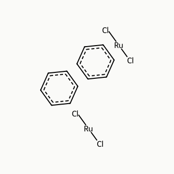 [Cl][Ru][Cl].[Cl][Ru][Cl].c1ccccc1.c1ccccc1